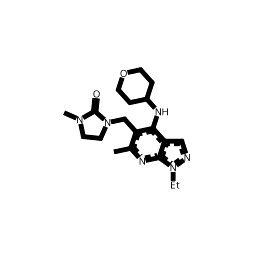 CCn1ncc2c(NC3CCOCC3)c(CN3CCN(C)C3=O)c(C)nc21